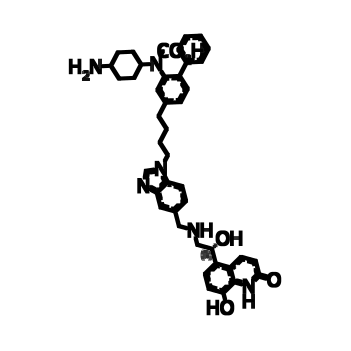 NC1CCC(N(C(=O)O)c2cc(CCCCn3cnc4cc(CNC[C@H](O)c5ccc(O)c6[nH]c(=O)ccc56)ccc43)ccc2-c2ccccc2)CC1